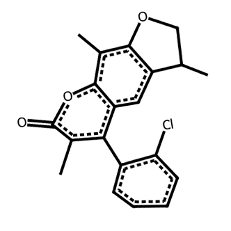 Cc1c(-c2ccccc2Cl)c2cc3c(c(C)c2oc1=O)OCC3C